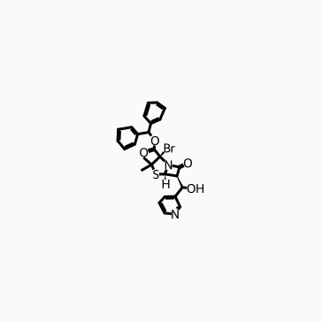 CC1(C)S[C@@H]2[C@H](C(O)c3cccnc3)C(=O)N2[C@@]1(Br)C(=O)OC(c1ccccc1)c1ccccc1